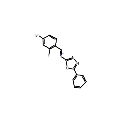 Fc1cc(Br)ccc1/C=N/c1nnc(-c2ccccc2)o1